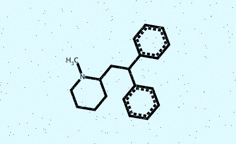 CN1CCCCC1CC(c1ccccc1)c1ccccc1